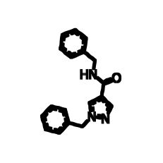 O=C(NCc1ccccc1)c1cnn(Cc2ccccc2)c1